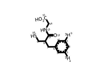 [3H]c1cc([3H])cc(CC(CS)C(=O)NCC(=O)O)c1